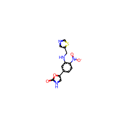 O=c1[nH]cc(-c2ccc([N+](=O)[O-])c(NCc3cncs3)c2)o1